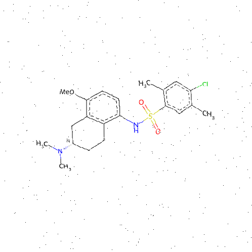 COc1ccc(NS(=O)(=O)c2cc(C)c(Cl)cc2C)c2c1C[C@@H](N(C)C)CC2